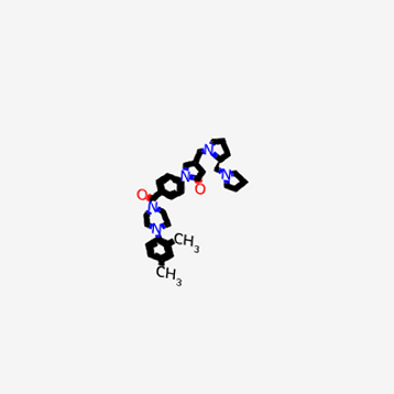 Cc1ccc(N2CCN(C(=O)c3ccc(N4CC(CN5CCC[C@H]5CN5CCCC5)CC4=O)cc3)CC2)c(C)c1